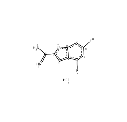 Cl.N=C(N)c1cc2c(F)cc(F)cc2o1